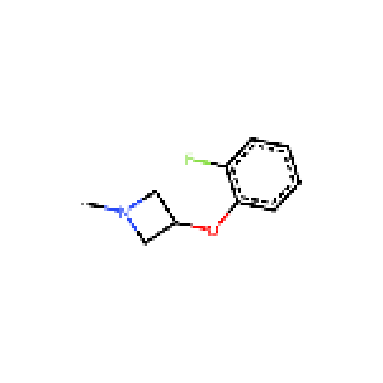 [CH2]N1CC(Oc2ccccc2F)C1